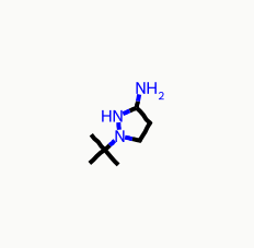 CC(C)(C)N1CCC(N)N1